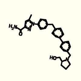 Cc1cc(C(N)=O)nn1-c1ccc(Cc2ccc(-c3ccc(CN4CCCC4CO)cc3)cc2)cc1